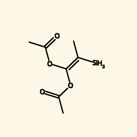 CC(=O)OC(OC(C)=O)=C(C)[SiH3]